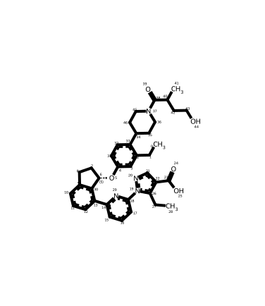 CCc1cc(O[C@H]2CCc3cccc(-c4cccc(-n5ncc(C(=O)O)c5CC)n4)c32)ccc1C1CCN(C(=O)C(C)CCO)CC1